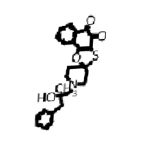 CC(O)(Cc1ccccc1)CN1CCC2(CC1)CSC1=C(O2)c2ccccc2C(=O)C1=O